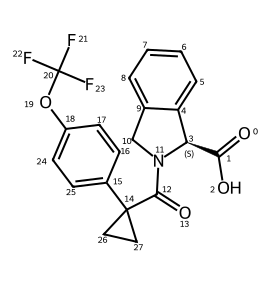 O=C(O)[C@@H]1c2ccccc2CN1C(=O)C1(c2ccc(OC(F)(F)F)cc2)CC1